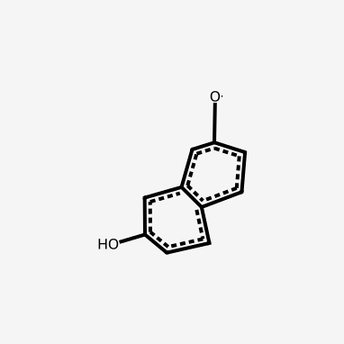 [O]c1ccc2ccc(O)cc2c1